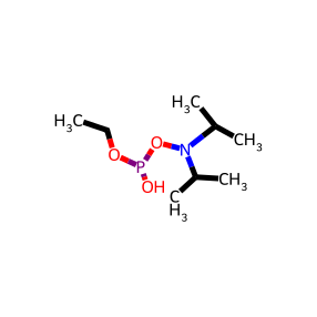 CCOP(O)ON(C(C)C)C(C)C